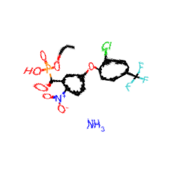 CCOP(=O)(O)C(=O)c1cc(Oc2ccc(C(F)(F)F)cc2Cl)ccc1[N+](=O)[O-].N